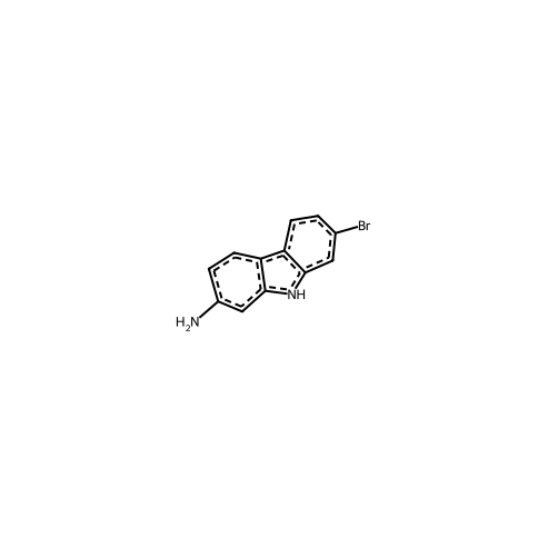 Nc1ccc2c(c1)[nH]c1cc(Br)ccc12